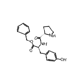 O=C(N[C@@H](Cc1ccc(O)cc1)C(=O)OCc1ccccc1)[C@@H]1CCCN1